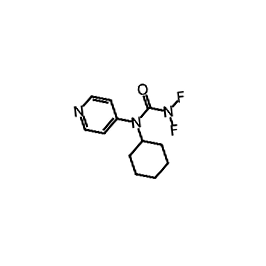 O=C(N(F)F)N(c1ccncc1)C1CCCCC1